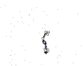 CC1(OC(=O)/C=C/c2ccc(OCCCCC(=O)O)cc2)CC1